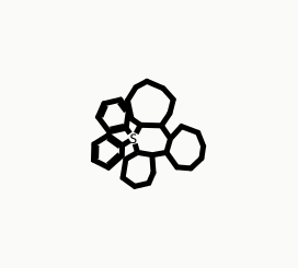 c1ccc(S2(c3ccccc3)C3CCCCCCCC3C3CCCCCCC3C3CCCCCC32)cc1